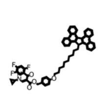 O=C(OCc1ccc(OCCCCCCCCCCC2c3c(c4ccccc4c4ccccc34)-c3c2c2ccccc2c2ccccc32)cc1)C(=CNC1CC1)C(=O)c1cc(F)c(F)cc1F